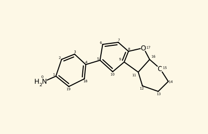 Nc1ccc(-c2ccc3c(c2)C2CCCCC2O3)cc1